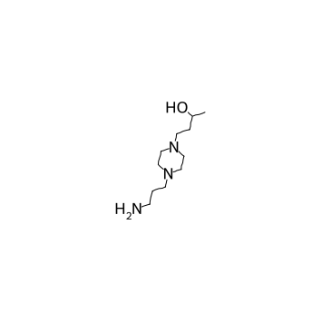 CC(O)CCN1CCN(CCCN)CC1